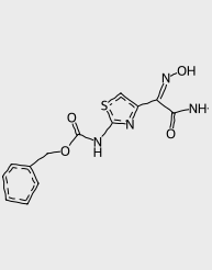 [NH]C(=O)C(=NO)c1csc(NC(=O)OCc2ccccc2)n1